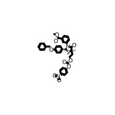 COC(=O)c1cccc(N2C(=O)[C@@](C)(CCOC(=O)Oc3ccc([N+](=O)[O-])cc3)S[C@H]2c2ccc(OCc3ccccc3)cc2)c1